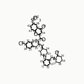 O=C(N[C@@H](C=C1CCN(c2ccccc2CN2CCCCC2=O)CC1)Cc1ccc(Cl)cc1)c1cc(=O)c2cc(SC(F)(F)F)ccc2o1